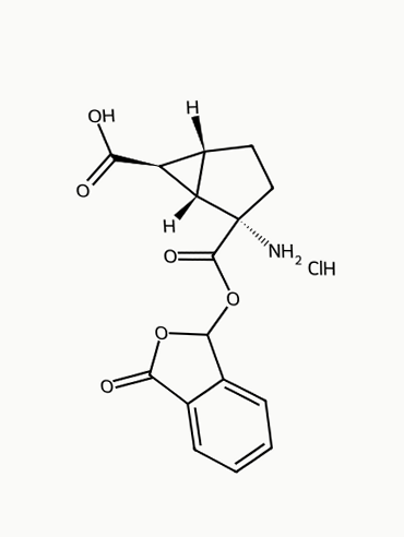 Cl.N[C@@]1(C(=O)OC2OC(=O)c3ccccc32)CC[C@H]2[C@H](C(=O)O)[C@H]21